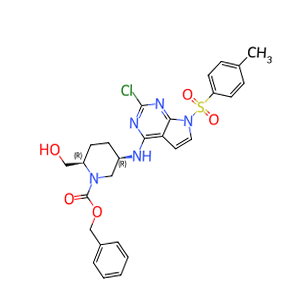 Cc1ccc(S(=O)(=O)n2ccc3c(N[C@@H]4CC[C@H](CO)N(C(=O)OCc5ccccc5)C4)nc(Cl)nc32)cc1